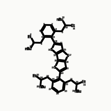 CCCCC(CC)Cc1cccc(CC(CC)CCCC)c1-c1cc2sc3cc(-c4c(CC(CC)CCCC)cccc4CC(CC)CCCC)sc3c2s1